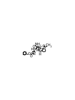 C=CC(=O)N1CCC[C@@H](Nc2nnc(C(N)=O)c(Nc3cnn(C(=O)OCc4ccccc4)c3)n2)[C@H]1C